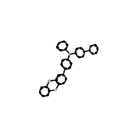 c1ccc(-c2ccc(N(c3ccccc3)c3ccc(-c4ccc5c(c4)Oc4ccccc4O5)cc3)cc2)cc1